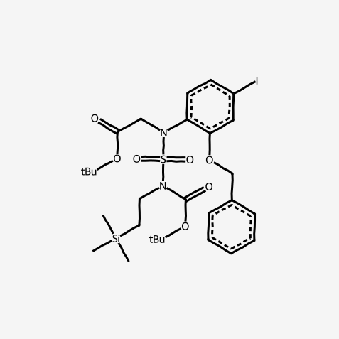 CC(C)(C)OC(=O)CN(c1ccc(I)cc1OCc1ccccc1)S(=O)(=O)N(CC[Si](C)(C)C)C(=O)OC(C)(C)C